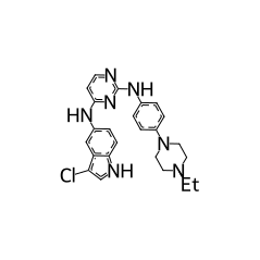 CCN1CCN(c2ccc(Nc3nccc(Nc4ccc5[nH]cc(Cl)c5c4)n3)cc2)CC1